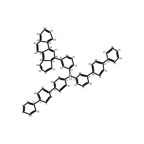 c1ccc(-c2ccc(-c3ccc(N(c4cccc(-c5ccc(-c6ccccc6)cc5)c4)c4cccc(-c5cc6c7ccccc7ccc6c6ccccc56)c4)cc3)cc2)cc1